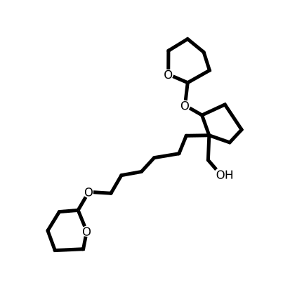 OCC1(CCCCCCOC2CCCCO2)CCCC1OC1CCCCO1